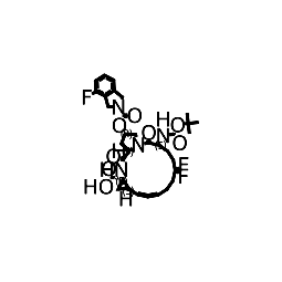 CC(C)(C)OC(=O)N[C@H]1CCC(F)(F)CCC=C=C[C@@H]2C[C@@]2(C(=O)O)NC(=O)[C@@H]2C[C@@H](OC(=O)N3Cc4cccc(F)c4C3)CN2C1=O